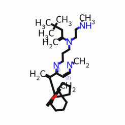 C=N/C=C\C(=N/CCCN(CCNC)C(=C)CC(C)(C)C)C(=C)C1CCC2(CCCCC23CCCC3)C1=C